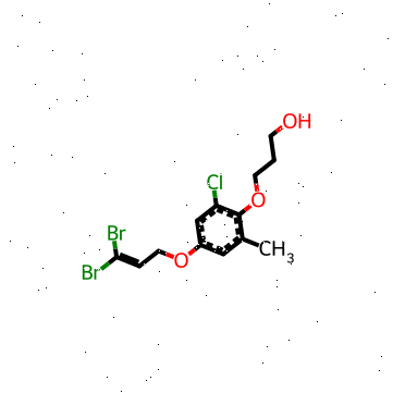 Cc1cc(OCC=C(Br)Br)cc(Cl)c1OCCCO